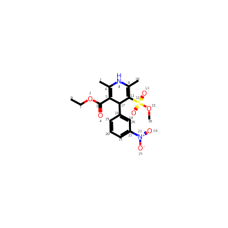 CCOC(=O)C1=C(C)NC(C)=C(S(=O)(=O)OC)C1c1cccc([N+](=O)[O-])c1